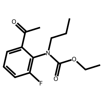 CCCN(C(=O)OCC)c1c(F)cccc1C(C)=O